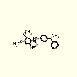 COc1cc2ncnc(Nc3ccc([C@H](N)c4ccccc4)cc3)c2cc1OC